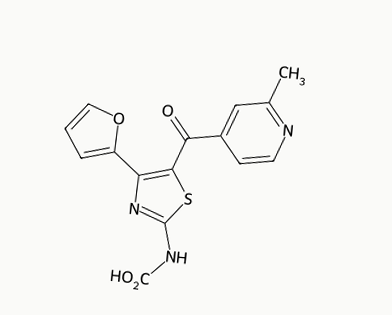 Cc1cc(C(=O)c2sc(NC(=O)O)nc2-c2ccco2)ccn1